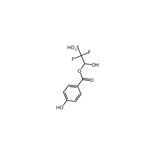 O=C(OC(O)C(F)(F)S(=O)(=O)O)c1ccc(O)cc1